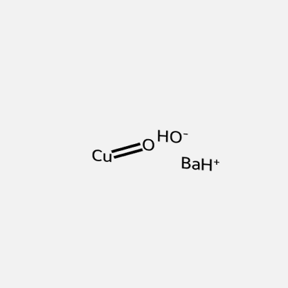 [BaH+].[OH-].[O]=[Cu]